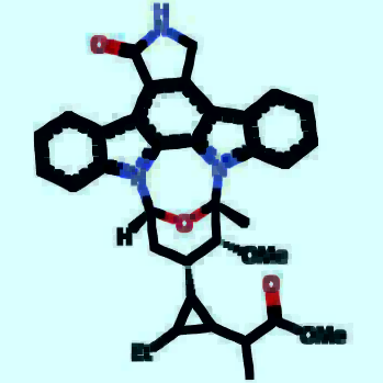 CCC1C(C(C)C(=O)OC)C1[C@@H]1C[C@H]2O[C@@](C)([C@@H]1OC)n1c3ccccc3c3c4c(c5c6ccccc6n2c5c31)C(=O)NC4